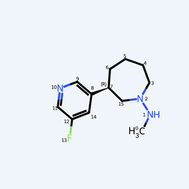 CNN1CCCC[C@H](c2cncc(F)c2)C1